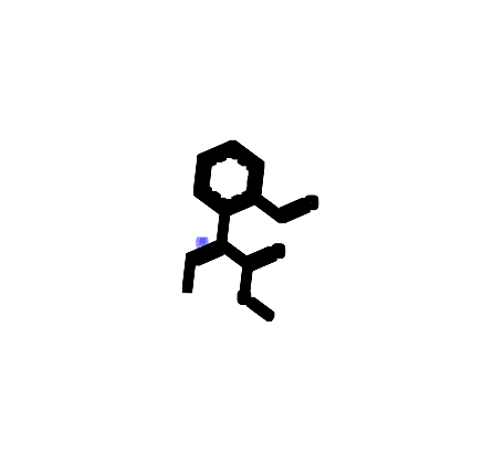 C/C=C(\C(=O)OC)c1ccccc1C=O